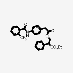 CCOC(=O)C(COC(=O)Cc1ccc(NC(=O)c2ccccc2C(F)(F)F)cc1)c1ccccc1